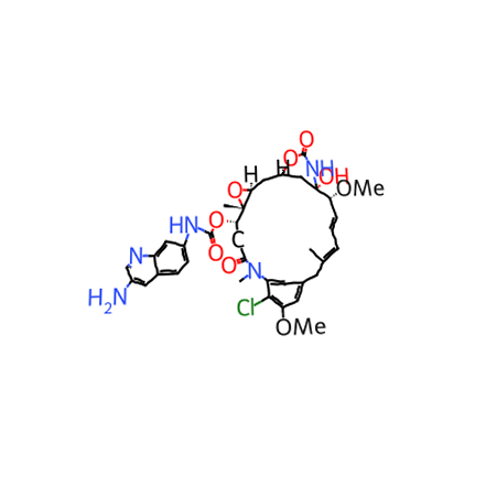 COc1cc2cc(c1Cl)N(C)C(=O)C[C@H](OC(=O)Nc1ccc3cc(N)cnc3c1)[C@]1(C)O[C@H]1C[C@@H]1C[C@@](O)(NC(=O)O1)[C@H](OC)/C=C/C=C(\C)C2